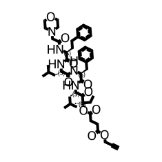 C#CCOC(=O)CCC(=O)O[C@](C)(CC)C(=O)[C@H](CC(C)C)NC(=O)[C@H](Cc1ccccc1)NC(=O)[C@H](CC(C)C)NC(=O)[C@H](CCc1ccccc1)NC(=O)CN1CCOCC1